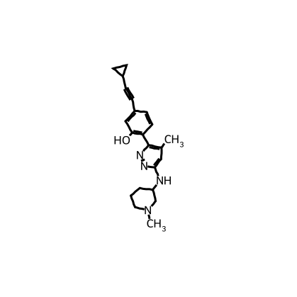 Cc1cc(NC2CCCN(C)C2)nnc1-c1ccc(C#CC2CC2)cc1O